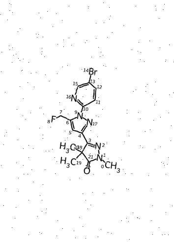 CN1N=C(c2cc(CF)n(-c3ccc(Br)cn3)n2)C(C)(C)C1=O